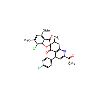 COC(=O)C1=CC(c2ccc(F)cc2)C2=C(CC(C)C3(Oc4c(Cl)c(OC)cc(OC)c4C3=O)C2=O)N1